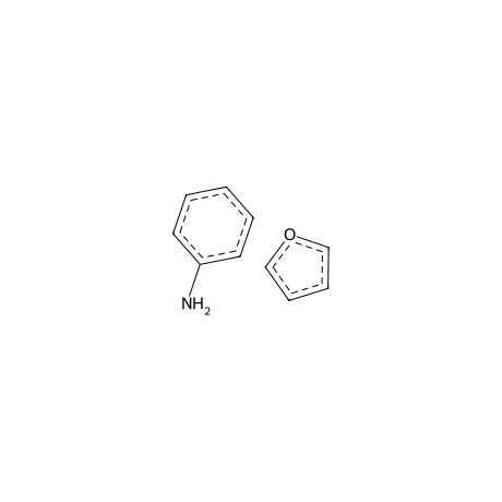 Nc1ccccc1.c1ccoc1